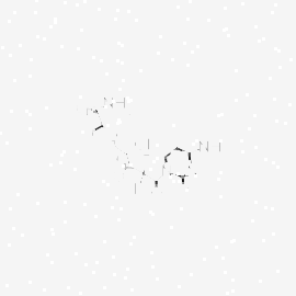 CC[C@H](C)[C@H](N)C(=O)OC[C@@H](O)[C@@H](O)C(F)(F)C(=O)n1ccc(N)nc1=O